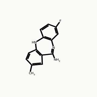 Cc1ccc2c(c1)C(N)=Nc1cc(F)ccc1N2